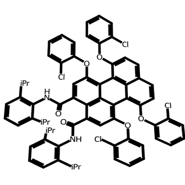 CC(C)c1cccc(C(C)C)c1NC(=O)c1cc(Oc2ccccc2Cl)c2c3c(Oc4ccccc4Cl)ccc4ccc(Oc5ccccc5Cl)c(c5c(Oc6ccccc6Cl)cc(C(=O)Nc6c(C(C)C)cccc6C(C)C)c1c25)c43